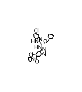 O=C(c1cc2ncnc(N[C@@H](COCc3ccccc3)c3nc4cc(Cl)ccc4[nH]3)c2cc1Cl)N1CC=CC1